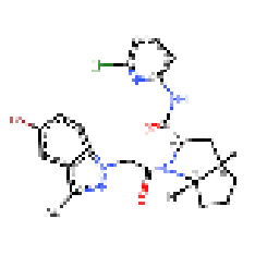 CC(=O)c1nn(CC(=O)N2[C@H](C(=O)Nc3cccc(Cl)n3)C[C@@H]3CCC[C@@H]32)c2ccc(Br)cc12